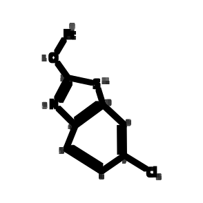 CCOc1nc2ccc(Cl)cc2s1